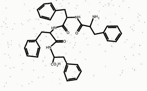 CC(=O)O.NC(Cc1ccccc1)C(=O)NC(Cc1ccccc1)C(=O)NC(Cc1ccccc1)C(=O)NC(Cc1ccccc1)C(=O)O